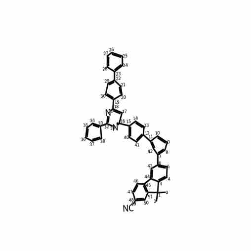 CC1(C)c2ccc(-c3cccc(-c4ccc(-c5cc(-c6ccc(-c7ccccc7)cc6)nc(-c6ccccc6)n5)cc4)c3)cc2-c2ccc(C#N)cc21